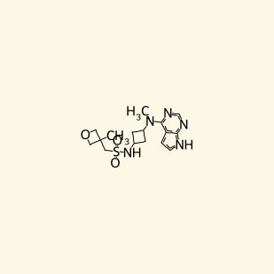 CN(c1ncnc2[nH]ccc12)C1CC(NS(=O)(=O)CC2(C)COC2)C1